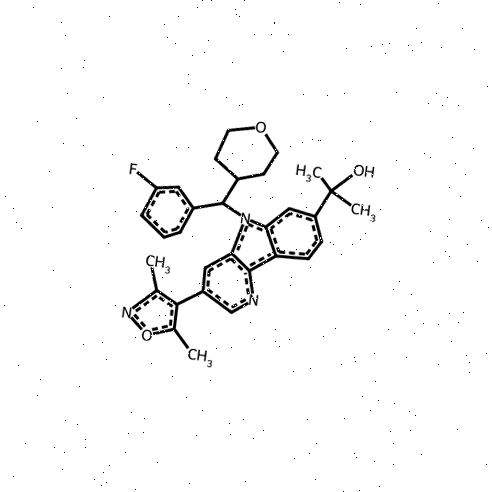 Cc1noc(C)c1-c1cnc2c3ccc(C(C)(C)O)cc3n(C(c3cccc(F)c3)C3CCOCC3)c2c1